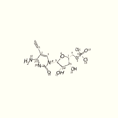 C#Cc1cn([C@@H]2O[C@H](COP(=O)(Cl)Cl)[C@H](O)[C@@H]2O)c(=O)nc1N